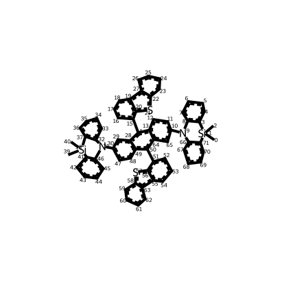 C[Si]1(C)c2ccccc2N(c2ccc3c(-c4cccc5c4sc4ccccc45)c4cc(N5c6ccccc6[Si](C)(C)c6ccccc65)ccc4c(-c4cccc5c4sc4ccccc45)c3c2)c2ccccc21